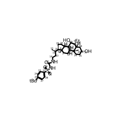 CC[C@H]1[C@@H](O)[C@@H]2[C@H](CC[C@]3(C)[C@@H]([C@H](C)CCNC(=O)NS(=O)(=O)c4ccc(C(C)(C)C)cc4)CC[C@@H]23)[C@@]2(C)CC[C@@H](O)C[C@@H]12